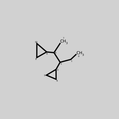 CC[C](C1CC1)C(C)C1CC1